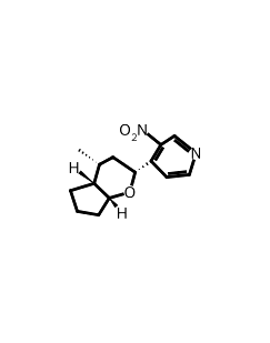 C[C@@H]1C[C@H](c2ccncc2[N+](=O)[O-])O[C@@H]2CCC[C@H]12